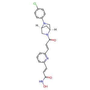 O=C(C=Cc1cccc(C=CC(=O)N2C[C@@H]3C[C@H]2CN3c2ccc(Cl)cc2)n1)NO